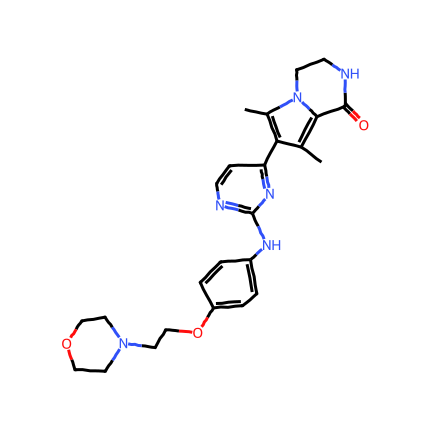 Cc1c(-c2ccnc(Nc3ccc(OCCN4CCOCC4)cc3)n2)c(C)n2c1C(=O)NCC2